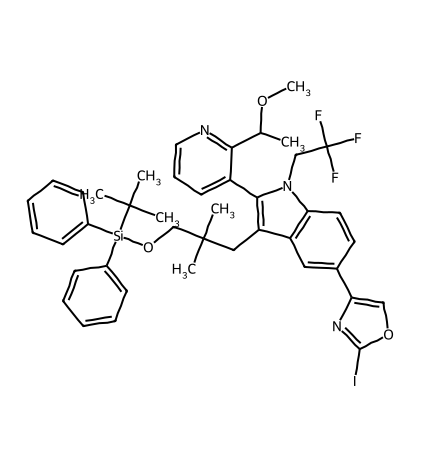 COC(C)c1ncccc1-c1c(CC(C)(C)CO[Si](c2ccccc2)(c2ccccc2)C(C)(C)C)c2cc(-c3coc(I)n3)ccc2n1CC(F)(F)F